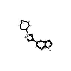 c1cc2cc(-c3cnn(C4CCNCC4)c3)ccc2o1